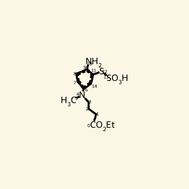 CCOC(=O)CCCN(C)c1ccc(N)c(SS(=O)(=O)O)c1